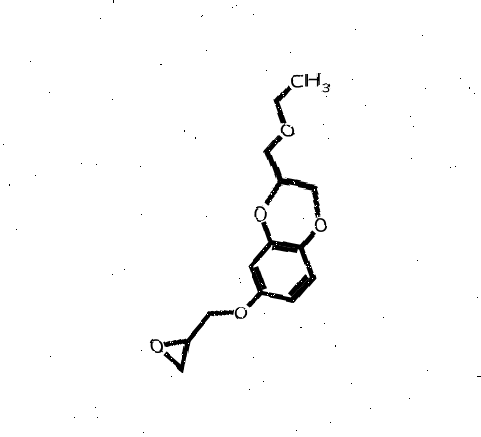 CCOCC1COc2ccc(OCC3CO3)cc2O1